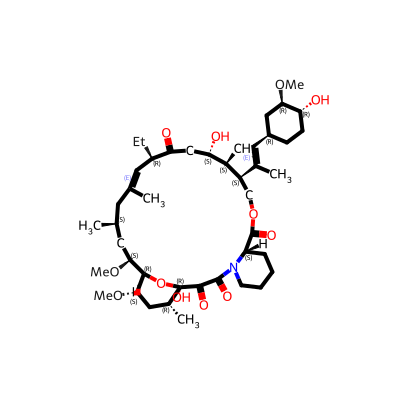 CC[C@@H]1/C=C(\C)C[C@H](C)C[C@H](OC)[C@H]2O[C@@](O)(C(=O)C(=O)N3CCCC[C@H]3C(=O)OC[C@H](/C(C)=C/[C@@H]3CC[C@@H](O)[C@H](OC)C3)[C@H](C)[C@@H](O)CC1=O)[C@H](C)C[C@@H]2OC